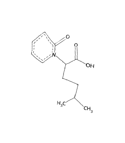 CC(C)CCC(C(=O)O)n1ccccc1=O